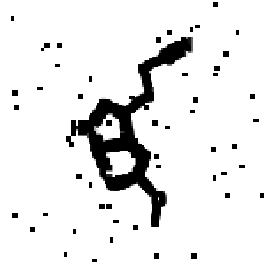 COc1ccc2[nH]cc(SCC#N)c2c1